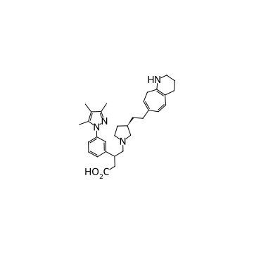 Cc1nn(-c2cccc(C(CC(=O)O)CN3CC[C@@H](CCC4=CCC5=C(C=C4)CCCN5)C3)c2)c(C)c1C